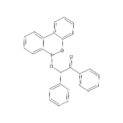 O=C(c1ccccc1)C(OP1Oc2ccccc2-c2ccccc21)c1ccccc1